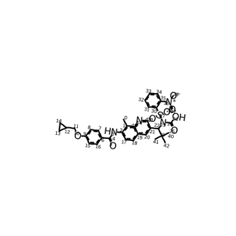 Cc1c(NC(=O)c2ccc(OCC3CC3)cc2)ccc2cc(C(N(C(=O)O)S(=O)(=O)c3ccccc3[N+](=O)[O-])C(C)(C)C)cnc12